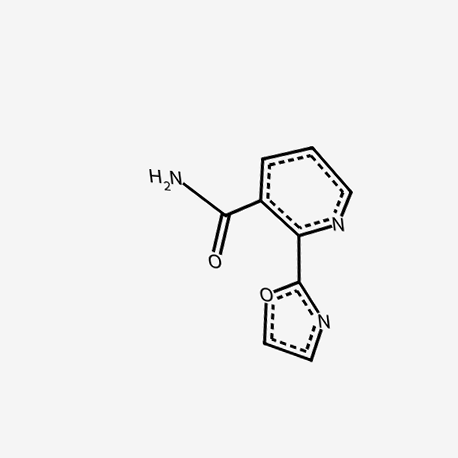 NC(=O)c1cccnc1-c1ncco1